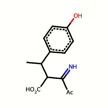 CC(=O)C(=N)C(C(=O)O)C(C)c1ccc(O)cc1